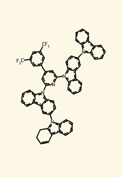 FC(F)(F)c1cc(-c2cc(-n3c4ccccc4c4cc(-n5c6c(c7ccccc75)C=CCC6)ccc43)nc(-n3c4ccccc4c4cc(-n5c6ccccc6c6ccccc65)ccc43)c2)cc(C(F)(F)F)c1